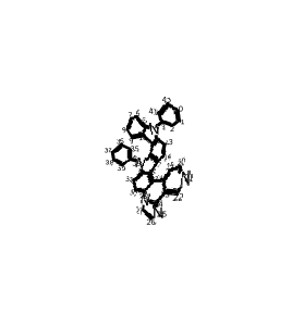 c1ccc(-n2c3ccccc3c3c2ccc2c4c5c6ccncc6c6nccn6c5ccc4n(-c4ccccc4)c23)cc1